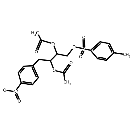 CC(=O)OC(COS(=O)(=O)c1ccc(C)cc1)C(Cc1ccc([N+](=O)[O-])cc1)OC(C)=O